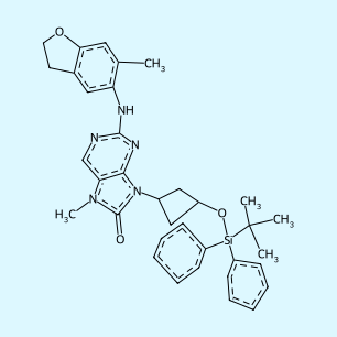 Cc1cc2c(cc1Nc1ncc3c(n1)n(C1CC(O[Si](c4ccccc4)(c4ccccc4)C(C)(C)C)C1)c(=O)n3C)CCO2